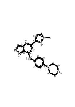 Cn1cnc(-c2nc(Nc3ccc(N4CCOCC4)cc3)c3n[nH]cc3n2)n1